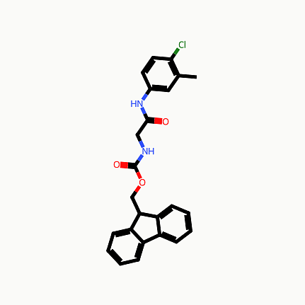 Cc1cc(NC(=O)CNC(=O)OCC2c3ccccc3-c3ccccc32)ccc1Cl